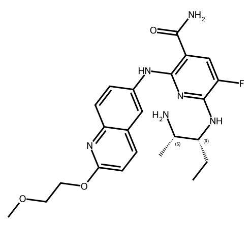 CC[C@@H](Nc1nc(Nc2ccc3nc(OCCOC)ccc3c2)c(C(N)=O)cc1F)[C@H](C)N